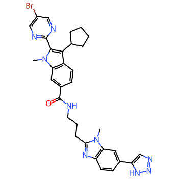 Cn1c(CCCNC(=O)c2ccc3c(C4CCCC4)c(-c4ncc(Br)cn4)n(C)c3c2)nc2ccc(-c3cnn[nH]3)cc21